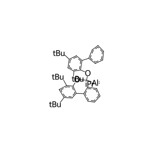 CC(C)[C]([Al])(Oc1c(-c2ccccc2)cc(C(C)(C)C)cc1C(C)(C)C)Oc1c(-c2ccccc2)cc(C(C)(C)C)cc1C(C)(C)C